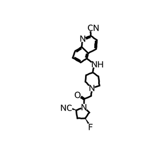 N#Cc1ccc2c(NC3CCN(CC(=O)N4C[C@@H](F)C[C@H]4C#N)CC3)cccc2n1